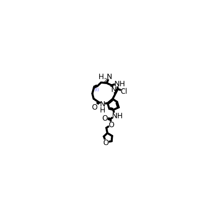 NC1C/C=C/CCC(=O)Nc2cc(NC(=O)OCC3CCOC3)ccc2-c2nc1[nH]c2Cl